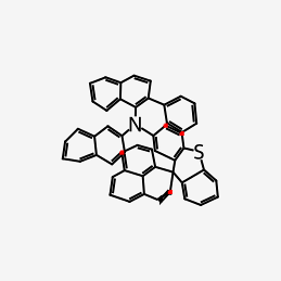 c1ccc(-c2ccc3ccccc3c2N(c2ccc3c(c2)C2(c4ccccc4S3)c3ccccc3-c3cccc4cccc2c34)c2ccc3ccccc3c2)cc1